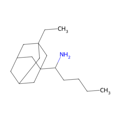 CCCCC(N)C12CC3CC(CC(CC)(C3)C1)C2